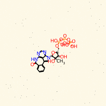 C[C@@]1(O)[C@H](O)[C@@H](COP(=O)(O)OP(=O)(O)OP(=O)(O)O)O[C@H]1n1cc2c3c(ncnc31)NC(=O)c1ccccc1-2